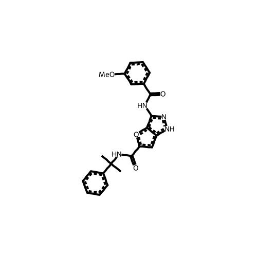 COc1cccc(C(=O)Nc2n[nH]c3cc(C(=O)NC(C)(C)c4ccccc4)oc23)c1